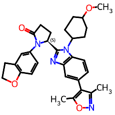 COC1CCC(n2c([C@@H]3CCC(=O)N3c3ccc4c(c3)CCO4)nc3cc(-c4c(C)noc4C)ccc32)CC1